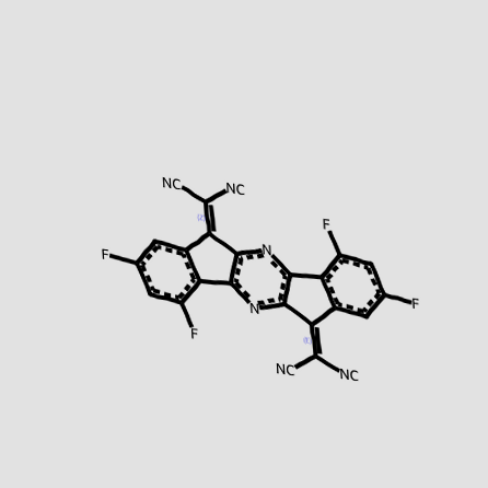 [C-]#[N+]/C(C#N)=C1/c2cc(F)cc(F)c2-c2nc3c(nc21)-c1c(F)cc(F)cc1/C3=C(/C#N)[N+]#[C-]